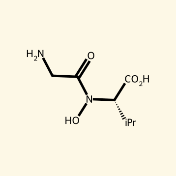 CC(C)[C@@H](C(=O)O)N(O)C(=O)CN